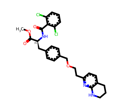 COC(=O)[C@H](Cc1ccc(COCCc2ccc3c(n2)NCCC3)cc1)NC(=O)c1c(Cl)cccc1Cl